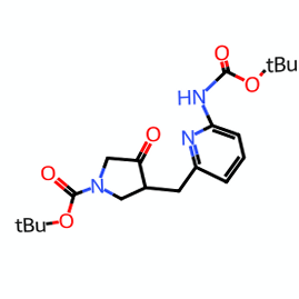 CC(C)(C)OC(=O)Nc1cccc(CC2CN(C(=O)OC(C)(C)C)CC2=O)n1